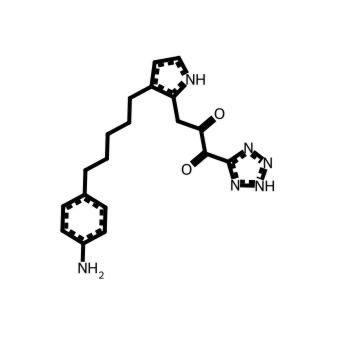 Nc1ccc(CCCCCc2cc[nH]c2CC(=O)C(=O)c2nn[nH]n2)cc1